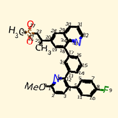 COc1ccc(-c2ccc(F)cc2)c(-c2cccc(-c3cc(C(C)CS(C)(=O)=O)cc4cccnc34)c2)n1